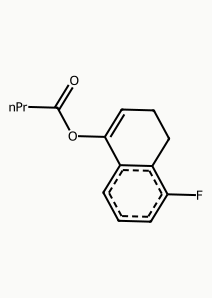 CCCC(=O)OC1=CCCc2c(F)cccc21